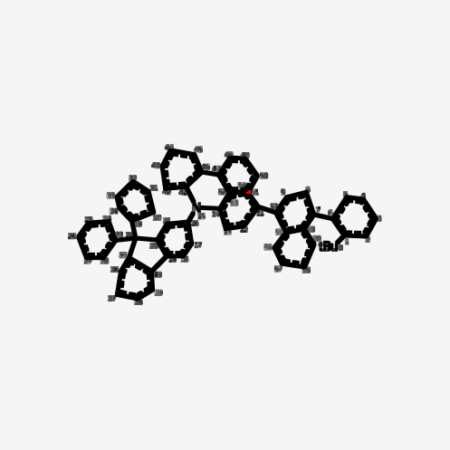 CC(C)(C)c1ccccc1-c1ccc(-c2ccc(N(c3ccc4c(c3)C(c3ccccc3)(c3ccccc3)c3ccccc3-4)c3ccccc3-c3ccccc3)cc2)c2ccccc12